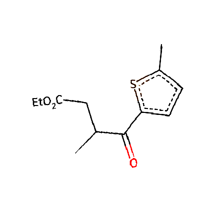 CCOC(=O)CC(C)C(=O)c1ccc(C)s1